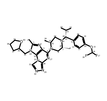 Cc1nc2c(N3C[C@@H](C)N([C@@H](c4ccc(OC(F)F)cc4)C(C)C)C[C@@H]3C)nc3nncn3c2n1CC1CCCO1